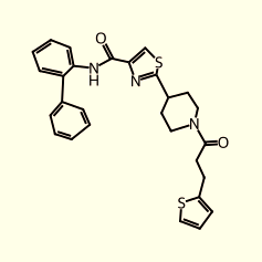 O=C(Nc1ccccc1-c1ccccc1)c1csc(C2CCN(C(=O)CCc3cccs3)CC2)n1